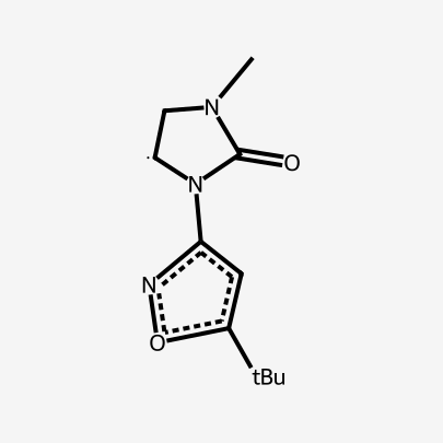 CN1C[CH]N(c2cc(C(C)(C)C)on2)C1=O